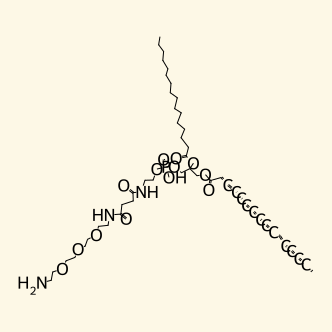 C=C=C=C=C=C=C=C=C=C=C=C=C=C=CC(=O)OCC(COP(=O)(O)OCCNC(=O)CCC(=O)NCCOCCOCCOCCN)OC(=O)CCCCCCCCCCCCCCC